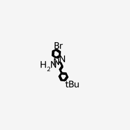 CC(C)(C)c1ccc(C=Cc2nc3cc(Br)ccc3n2N)cc1